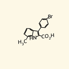 Cc1cccc2c(-c3ccc(Br)cc3)c(C(=O)O)[nH]c12